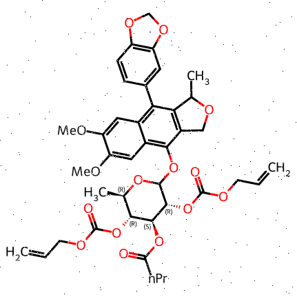 C=CCOC(=O)O[C@H]1[C@H](OC(=O)CCC)[C@@H](OC(=O)OCC=C)C(Oc2c3c(c(-c4ccc5c(c4)OCO5)c4cc(OC)c(OC)cc24)C(C)OC3)O[C@@H]1C